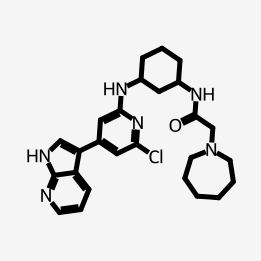 O=C(CN1CCCCCC1)NC1CCCC(Nc2cc(-c3c[nH]c4ncccc34)cc(Cl)n2)C1